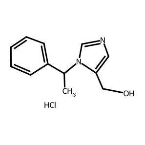 CC(c1ccccc1)n1cncc1CO.Cl